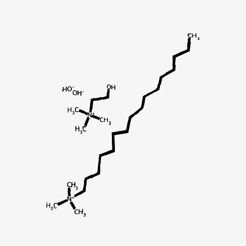 CCCCCCCCCCCCCCCC[N+](C)(C)C.C[N+](C)(C)CCO.[OH-].[OH-]